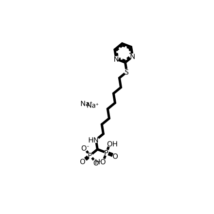 O=P([O-])([O-])C(NCCCCCCCCSc1ncccn1)P(=O)(O)O.[Na+].[Na+]